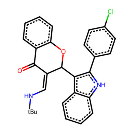 CC(C)(C)NC=C1C(=O)c2ccccc2OC1c1c(-c2ccc(Cl)cc2)[nH]c2ccccc12